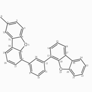 Cc1ccc2oc3c(-c4cccc(-c5cccc6c5oc5ccccc56)c4)cccc3c2c1